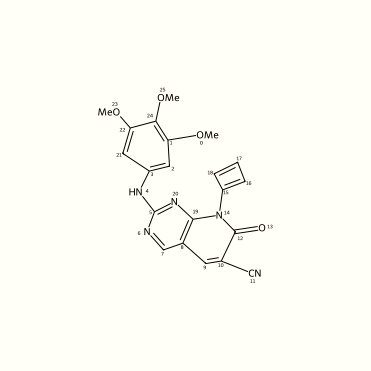 COc1cc(Nc2ncc3cc(C#N)c(=O)n(C4=CC=C4)c3n2)cc(OC)c1OC